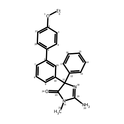 CCOc1ccc(-c2cccc(C3(c4ccccc4)N=C(N)N(C)C3=O)c2)cc1